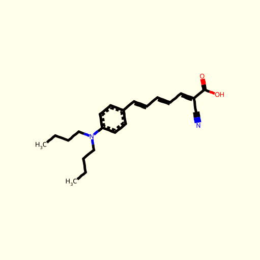 CCCCN(CCCC)c1ccc(/C=C/C=C/C=C(\C#N)C(=O)O)cc1